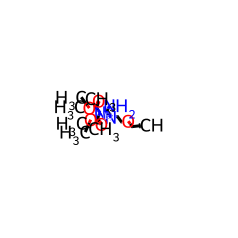 C#CCOCC/N=C(\N)N(C(=O)OC(C)(C)C)C(=O)OC(C)(C)C